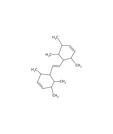 CC1C=CC(C)C(C=CC2C(C)C=CC(C)C2C)C1C